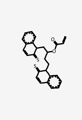 C=CC(=O)OC(CCC1C(=S)C=Cc2ccccc21)CC1C(=S)C=Cc2ccccc21